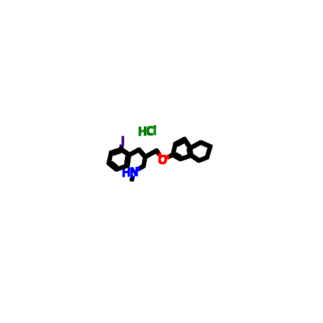 CNCC(COc1ccc2c(c1)CCCC2)Cc1ccccc1I.Cl